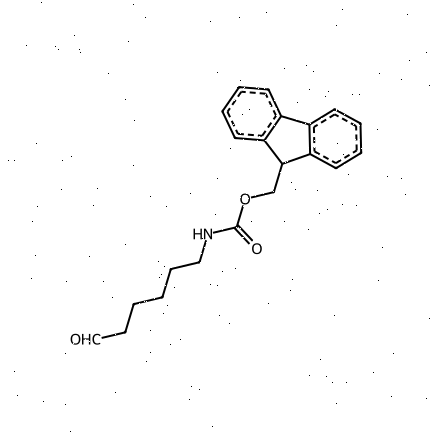 O=CCCCCCNC(=O)OCC1c2ccccc2-c2ccccc21